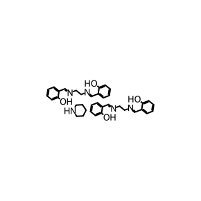 C1CCNCC1.Oc1ccccc1C=NCCN=Cc1ccccc1O.Oc1ccccc1C=NCCN=Cc1ccccc1O